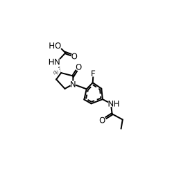 CCC(=O)Nc1ccc(N2CC[C@H](NC(=O)O)C2=O)c(F)c1